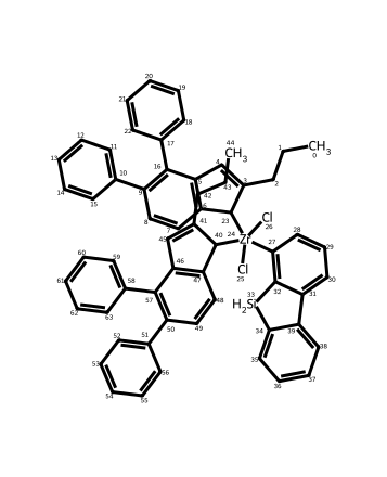 CCCC1=Cc2c(ccc(-c3ccccc3)c2-c2ccccc2)[CH]1[Zr]([Cl])([Cl])([c]1cccc2c1[SiH2]c1ccccc1-2)[CH]1C(CCC)=Cc2c1ccc(-c1ccccc1)c2-c1ccccc1